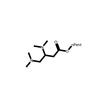 CCCCCOC(=O)CC(CN(C)C)N(C)C